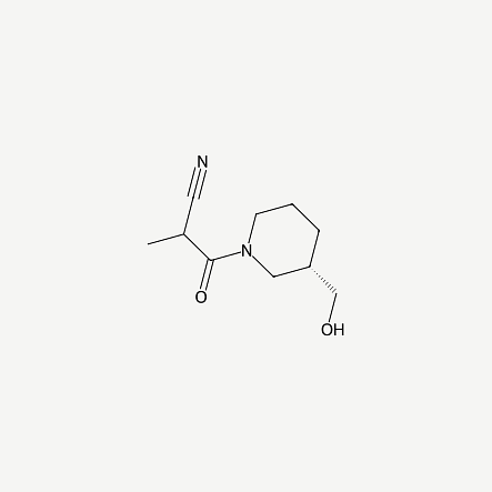 CC(C#N)C(=O)N1CCC[C@H](CO)C1